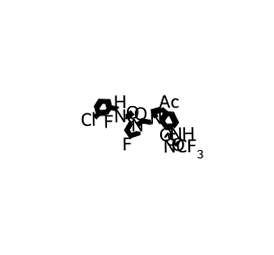 CC(=O)c1cn(CC(=O)N2C[C@H](F)C[C@H]2C(=O)NCc2cccc(Cl)c2F)c2cc(NS(=O)(=O)NC(F)(F)F)ccc12